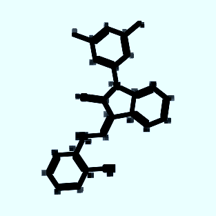 Cc1cc(C)cc(N2C(=O)C(=CNc3[c]cccc3O)c3ccccc32)c1